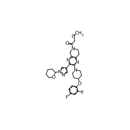 COCC(=O)N1CCc2nc(N3CCC(Oc4ccc(F)cc4F)CC3)c(-c3cnn(C4CCCCO4)c3)nc2C1